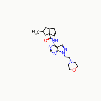 CC1CC2CC=CC2(C(=O)Nc2ncnc3c2cnn3CCN2CCOCC2)C1